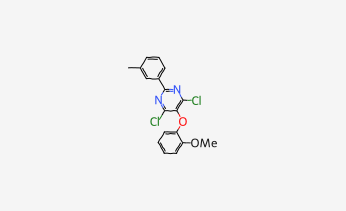 COc1ccccc1Oc1c(Cl)nc(-c2cccc(C)c2)nc1Cl